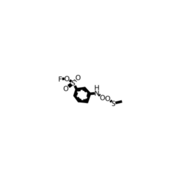 CSOONc1cccc(S(=O)(=O)OF)c1